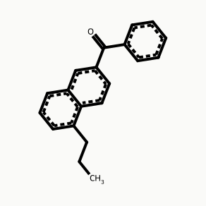 CCCc1cccc2cc(C(=O)c3ccccc3)ccc12